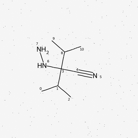 CC(C)C(C#N)(NN)C(C)C